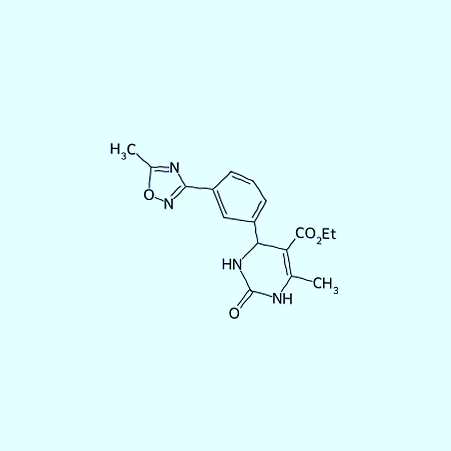 CCOC(=O)C1=C(C)NC(=O)NC1c1cccc(-c2noc(C)n2)c1